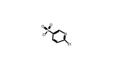 CCc1ccc(S(=O)(=O)Cl)cn1